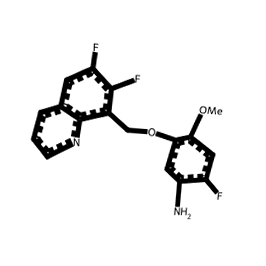 COc1cc(F)c(N)cc1OCc1c(F)c(F)cc2cccnc12